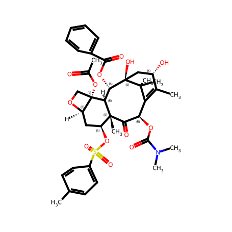 CC(=O)O[C@@]12CO[C@@H]1C[C@H](OS(=O)(=O)c1ccc(C)cc1)[C@@]1(C)C(=O)[C@H](OC(=O)N(C)C)C3=C(C)[C@@H](O)C[C@@](O)([C@@H](OC(=O)c4ccccc4)[C@H]21)C3(C)C